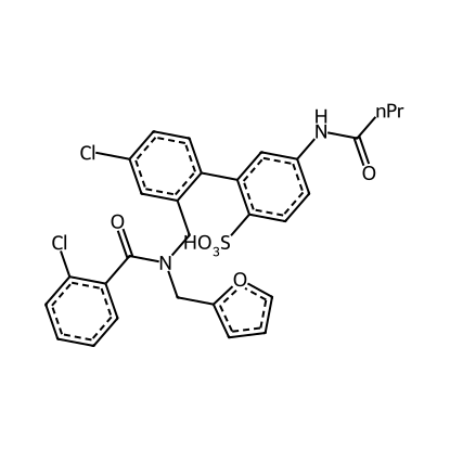 CCCC(=O)Nc1ccc(S(=O)(=O)O)c(-c2ccc(Cl)cc2CN(Cc2ccco2)C(=O)c2ccccc2Cl)c1